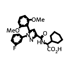 COc1cccc(OC)c1-c1cc(C(=O)N[C@H](C(=O)O)C2CCCCC2)nn1-c1cccc(F)c1